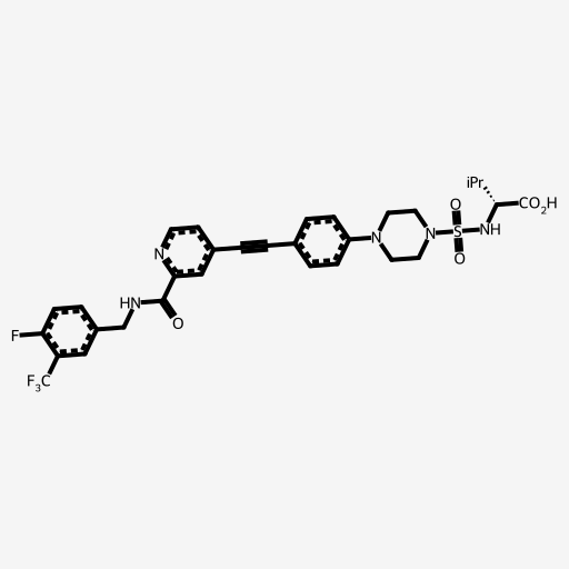 CC(C)[C@@H](NS(=O)(=O)N1CCN(c2ccc(C#Cc3ccnc(C(=O)NCc4ccc(F)c(C(F)(F)F)c4)c3)cc2)CC1)C(=O)O